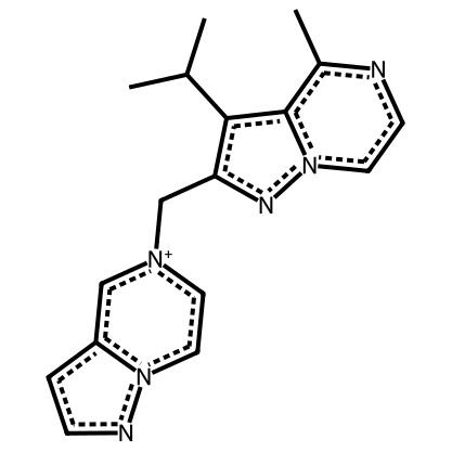 Cc1nccn2nc(C[n+]3ccn4nccc4c3)c(C(C)C)c12